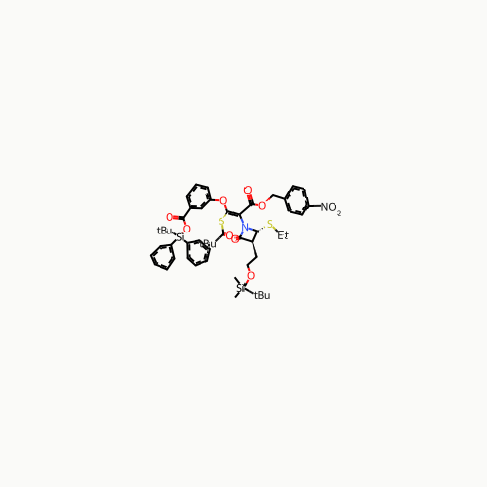 CCS[C@@H]1[C@@H](CCO[Si](C)(C)C(C)(C)C)C(=O)N1C(C(=O)OCc1ccc([N+](=O)[O-])cc1)=C(Oc1cccc(C(=O)O[Si](c2ccccc2)(c2ccccc2)C(C)(C)C)c1)SC(=O)C(C)(C)C